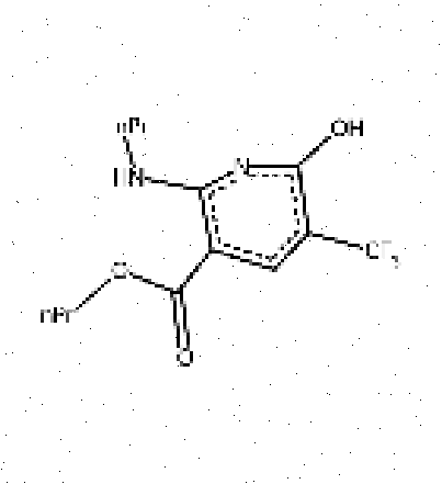 CCCNc1nc(O)c(C(F)(F)F)cc1C(=O)OCCC